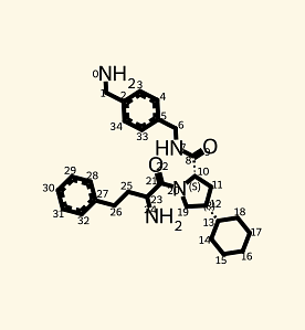 NCc1ccc(CNC(=O)[C@@H]2C[C@H](C3CCCCC3)CN2C(=O)C(N)CCc2ccccc2)cc1